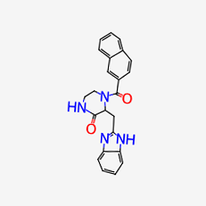 O=C1NCCN(C(=O)c2ccc3ccccc3c2)C1Cc1nc2ccccc2[nH]1